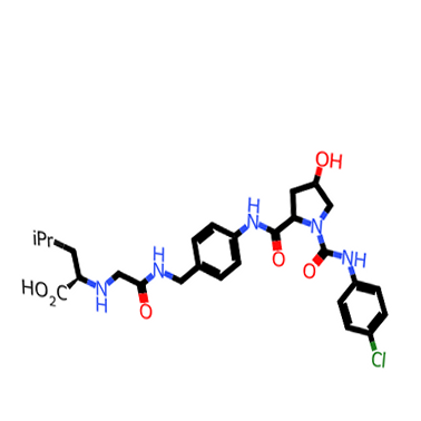 CC(C)C[C@@H](NCC(=O)NCc1ccc(NC(=O)C2CC(O)CN2C(=O)Nc2ccc(Cl)cc2)cc1)C(=O)O